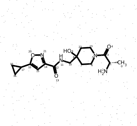 C[C@H](N)C(=O)N1CCC(O)(CNC(=O)c2cc(C3CC3)on2)CC1